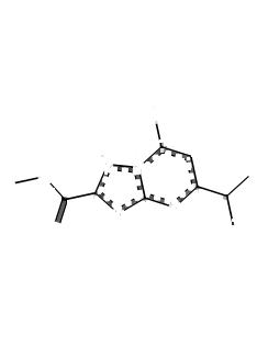 COC(=O)c1nc2nc(C(C)C)cc(Cl)n2n1